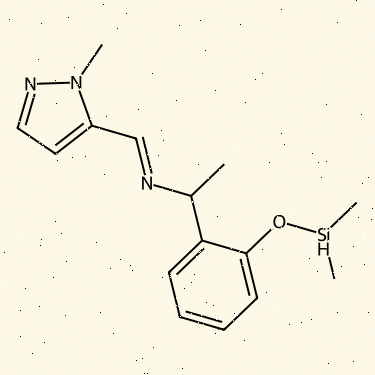 CC(N=Cc1ccnn1C)c1ccccc1O[SiH](C)C